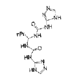 CCCC(NC(=O)Nc1nnc[nH]1)NC(=O)Nc1nnc[nH]1